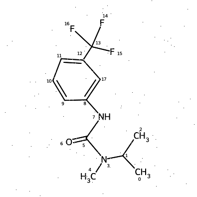 CC(C)N(C)C(=O)Nc1cccc(C(F)(F)F)c1